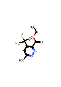 C=C(OCC)c1nnc(C)cc1C(C)(C)F